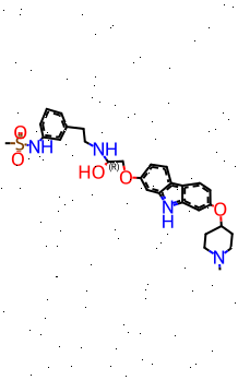 CN1CCC(Oc2ccc3c(c2)[nH]c2cc(OC[C@@H](O)NCCc4cccc(NS(C)(=O)=O)c4)ccc23)CC1